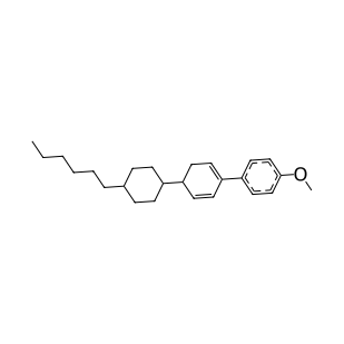 CCCCCCC1CCC(C2C=CC(c3ccc(OC)cc3)=CC2)CC1